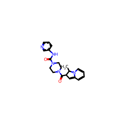 CC1C(C(=O)N2CCN(C(=O)Nc3cccnc3)CC2)C=C2C=CC=CN21